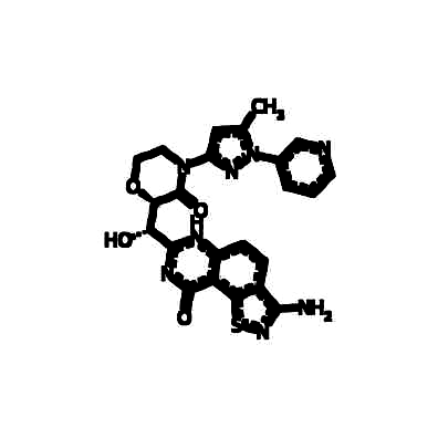 Cc1cc(N2CCO[C@H]([C@@H](O)c3nc(=O)c4c(ccc5c(N)nsc54)[nH]3)C2=O)nn1-c1cccnc1